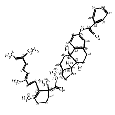 CC=C(C)C=CC=C(C)C=CC1=C(C)CCCC1(C)C(=O)O[C@H]1CC[C@H]2[C@@H]3CCc4cc(OC(=O)c5ccccc5)ccc4[C@H]3CC[C@]12C